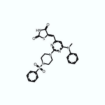 CN(c1ccccc1)c1cc(/C=C2\SC(=O)NC2=O)nc(N2CCN(S(=O)(=O)c3ccccc3)CC2)n1